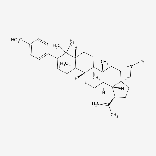 C=C(C)[C@@H]1CC[C@]2(CNC(C)C)CC[C@]3(C)[C@H](CC[C@@H]4[C@@]5(C)CC=C(c6ccc(C(=O)O)cc6)C(C)(C)[C@@H]5CC[C@]43C)[C@@H]12